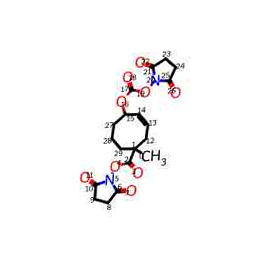 CC1(C(=O)ON2C(=O)CCC2=O)CC=CC(OC(=O)ON2C(=O)CCC2=O)CCC1